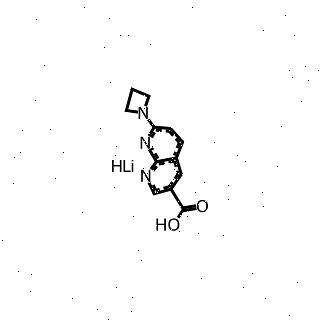 O=C(O)c1cnc2nc(N3CCC3)ccc2c1.[LiH]